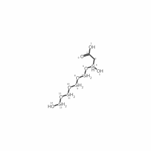 O=C(O)C[SiH](O)O[SiH2]O[SiH2]O[SiH2]O[SiH2]O